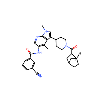 Cc1c(NC(=O)c2cccc(C#N)c2)cnc2c1c(C1CCN(C(=O)C3CC4CC[C@@H]3C4)CC1)cn2C